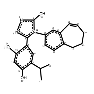 CC(C)c1cc(-c2nnc(O)n2-c2ccc3c(c2)C=CCCC3)c(O)cc1O